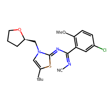 COc1ccc(Cl)cc1C(=NC#N)/N=c1\sc(C(C)(C)C)cn1C[C@H]1CCCO1